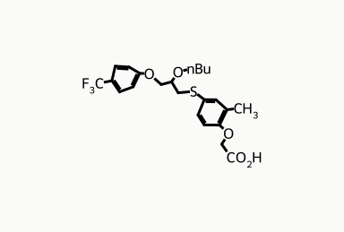 CCCCOC(COc1ccc(C(F)(F)F)cc1)CSc1ccc(OCC(=O)O)c(C)c1